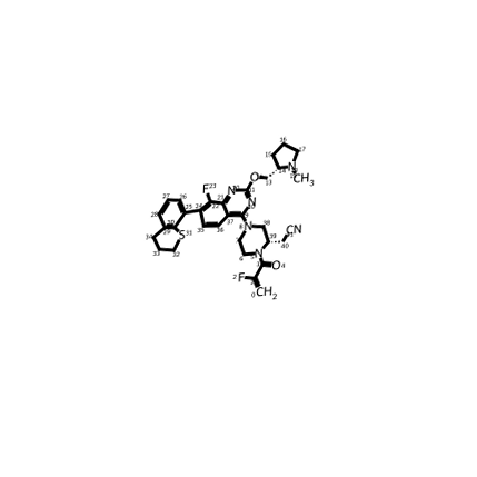 C=C(F)C(=O)N1CCN(c2nc(OC[C@@H]3CCCN3C)nc3c(F)c(-c4cccc5c4SCCC5)ccc23)C[C@@H]1CC#N